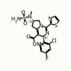 COC(=O)C1=C2C[C@H](N(C)S(N)(=O)=O)CN2C(c2nccs2)=N[C@H]1c1ccc(F)cc1Cl